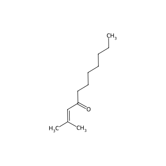 CCCCCCCC(=O)C=C(C)C